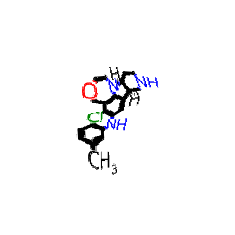 Cc1ccc(Cl)c(Nc2cc3c4c(c2)[C@@H]2CNCC[C@@H]2N4CCOC3)c1